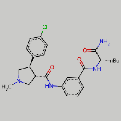 CCCC[C@H](NC(=O)c1cccc(NC(=O)[C@@H]2CN(C)C[C@H]2c2ccc(Cl)cc2)c1)C(N)=O